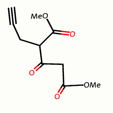 C#CCC(C(=O)CC(=O)OC)C(=O)OC